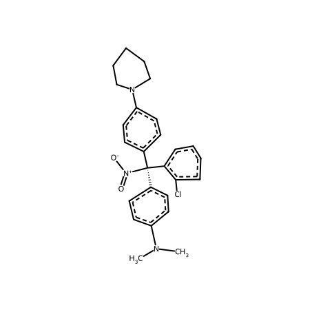 CN(C)c1ccc([C@](c2ccc(N3CCCCC3)cc2)(c2ccccc2Cl)[N+](=O)[O-])cc1